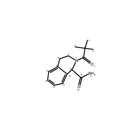 CC(C)(C)C(=O)N1CCc2c[c]ccc2C1C(N)=O